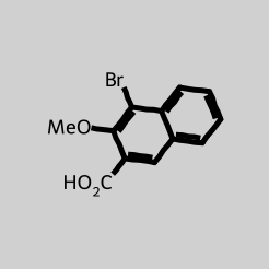 COc1c(C(=O)O)cc2ccccc2c1Br